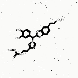 CCOC(=O)CCc1ccc2c(c1)OC(C(c1ccc(O)c(O)c1)n1cnc(CCNC(=O)OC(C)(C)C)c1)O2